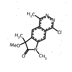 COC1(C)C(=O)N(C)c2cc3c(Cl)nnc(C)c3cc21